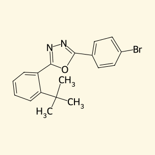 CC(C)(C)c1ccccc1-c1nnc(-c2ccc(Br)cc2)o1